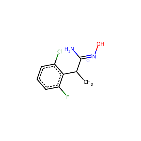 CC(/C(N)=N/O)c1c(F)cccc1Cl